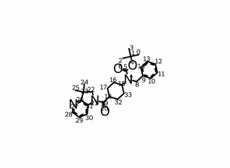 CC(C)(C)OC(=O)N(Cc1ccccc1)C1CCC(C(=O)N2CC(C)(C)c3ncccc32)CC1